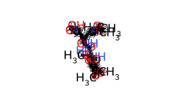 CCOC(=O)[C@H](CNC(=O)CNC(=O)C(CCC1CCN(C(=O)O)CC1)CCC1CCN(C(=O)OC(C)(C)C)CC1)NS(=O)(=O)c1ccc2cc(OC)c(OC)cc2c1